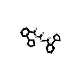 O=C(OC(=O)c1ccccc1C1CCCC1)OC(=O)c1ccccc1C1CCCC1